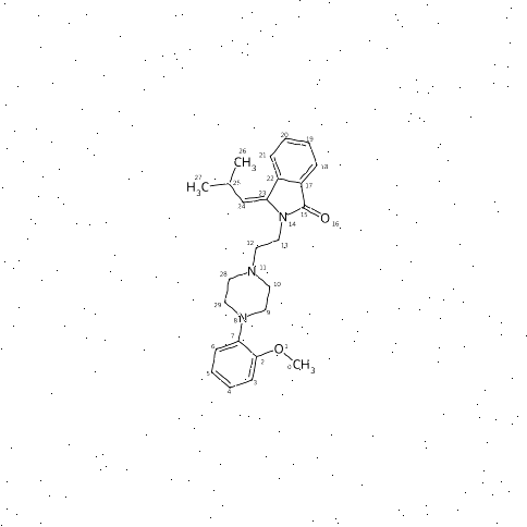 COc1ccccc1N1CCN(CCN2C(=O)c3ccccc3C2=CC(C)C)CC1